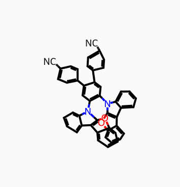 N#Cc1ccc(-c2cc(-n3c4ccccc4c4c5ccccc5oc43)c(-n3c4ccccc4c4c5ccccc5oc43)cc2-c2ccc(C#N)cc2)cc1